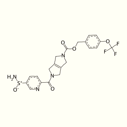 N[S+]([O-])c1ccc(C(=O)N2CC3=C(CN(C(=O)OCc4ccc(OC(F)(F)F)cc4)C3)C2)nc1